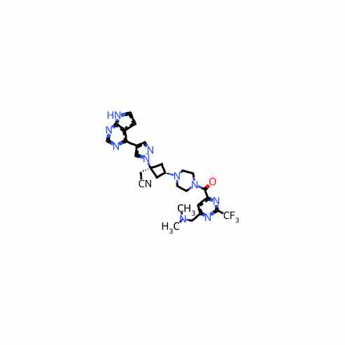 CN(C)Cc1cc(C(=O)N2CCN([C@H]3C[C@@](CC#N)(n4cc(-c5ncnc6[nH]ccc56)cn4)C3)CC2)nc(C(F)(F)F)n1